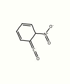 O=C=C1C=CC=CC1[N+](=O)[O-]